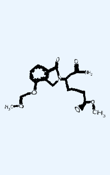 COCOc1cccc2c1CN(C(CCC(=O)OC)C(N)=O)C2=O